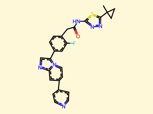 CC1(c2nnc(NC(=O)Cc3ccc(-c4cnc5cc(-c6ccncc6)ccn45)cc3F)s2)CC1